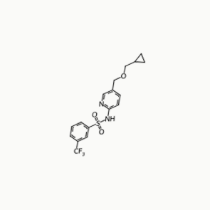 O=S(=O)(Nc1ccc(COCC2CC2)cn1)c1cccc(C(F)(F)F)c1